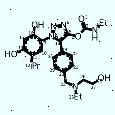 CCNC(=O)Oc1nnn(-c2cc(C(C)C)c(O)cc2O)c1-c1ccc(CN(CC)CCO)cc1